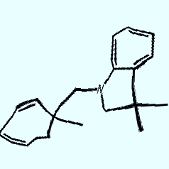 CC1(CN2CC(C)(C)c3ccccc32)C=CC=CC1